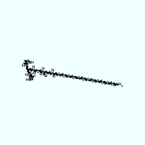 C/C(=N/O)C(C)(C)NCCC(CCNC(=O)COCC(=O)NC(C=O)CCCCNC(=O)CCOCCOCCOCCOCCOCCOCCOCCOCCOCCOCCOCCOCCN)CCNC(C)(C)/C(C)=N\O